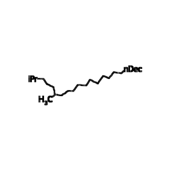 CCCCCCCCCCCCCCCCCCCCCC(C)CCCC(C)C